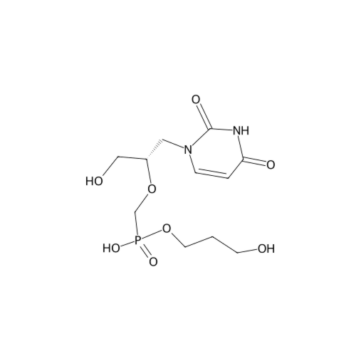 O=c1ccn(C[C@@H](CO)OCP(=O)(O)OCCCO)c(=O)[nH]1